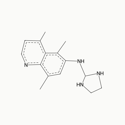 Cc1cc(NC2NCCN2)c(C)c2c(C)ccnc12